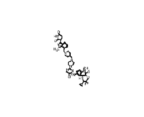 Cn1nc(C2CCC(=O)NC2=O)c2cccc(CN3CCC(CN4CCN(c5ncc(Cl)c(Nc6ccc7c(c6)c6c(c(=O)n7C)OCC(F)(F)C(C7CC7)N6)n5)CC4)CC3)c21